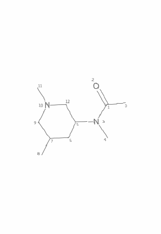 CC(=O)N(C)C1CC(C)CN(C)C1